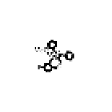 COc1ccccc1S(=O)(=O)N1Cc2cc(F)ccc2COCC1Cc1ccccc1